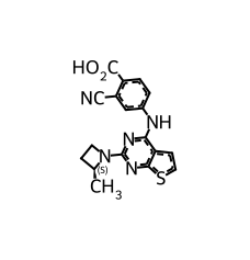 C[C@H]1CCN1c1nc(Nc2ccc(C(=O)O)c(C#N)c2)c2ccsc2n1